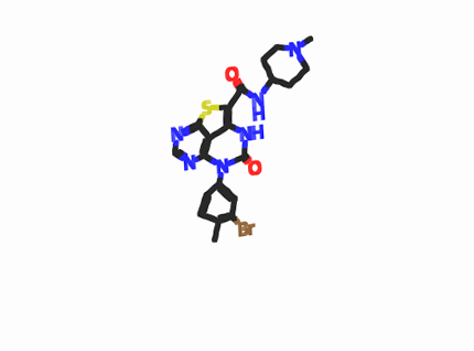 Cc1ccc(N2C(=O)Nc3c(C(=O)NC4CCN(C)CC4)sc4ncnc2c34)cc1Br